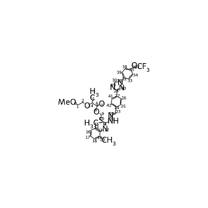 COCCOC(C)C(=O)OCS/C(=N\c1c(C)cccc1C)N/N=C/c1ccc(-c2ncn(-c3ccc(OC(F)(F)F)cc3)n2)cc1